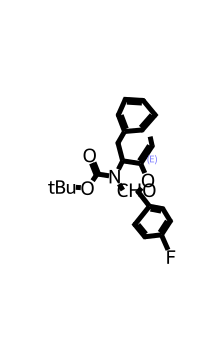 C/C=C(/OCc1ccc(F)cc1)C(Cc1ccccc1)N(C=O)C(=O)OC(C)(C)C